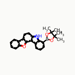 CC1(C)OB(c2cccc3c2[nH]c2ccc4c5ccccc5oc4c23)OC1(C)C